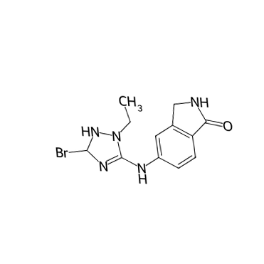 CCN1NC(Br)N=C1Nc1ccc2c(c1)CNC2=O